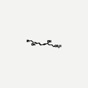 CC(C)C[C@@H](O)/C=C/C=C/C#C[C@@H](O)CCCC(=O)O